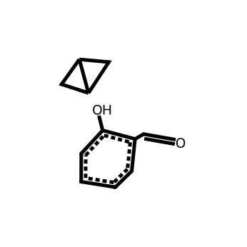 C1C2CC12.O=Cc1ccccc1O